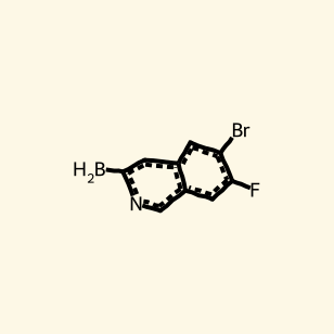 Bc1cc2cc(Br)c(F)cc2cn1